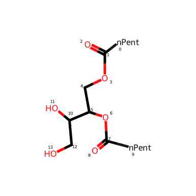 CCCCCC(=O)OCC(OC(=O)CCCCC)C(O)CO